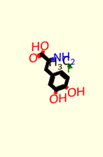 CF.NC(Cc1ccc(O)c(O)c1)C(=O)O